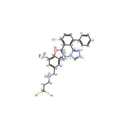 Cn1cnnc1-c1c(-c2ccccc2)ccc(F)c1-c1nc2cc(CNCCC(F)F)cc(C(F)(F)F)c2o1